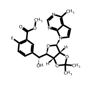 COC(=O)c1cc([C@@H](O)[C@H]2O[C@@H](n3ccc4c(C)ncnc43)[C@@H]3OC(C)(C)O[C@@H]32)ccc1F